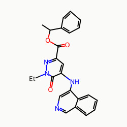 CCn1nc(C(=O)OC(C)c2ccccc2)cc(Nc2cncc3ccccc23)c1=O